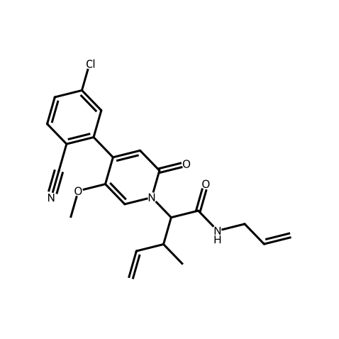 C=CCNC(=O)C(C(C)C=C)n1cc(OC)c(-c2cc(Cl)ccc2C#N)cc1=O